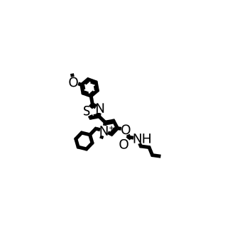 CCCCNC(=O)OC1=C[N+](C)(CC2CCCCC2)C(c2csc(-c3cccc(OC)c3)n2)=C1